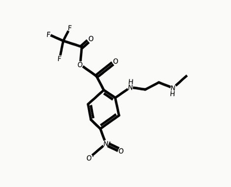 CNCCNc1cc([N+](=O)[O-])ccc1C(=O)OC(=O)C(F)(F)F